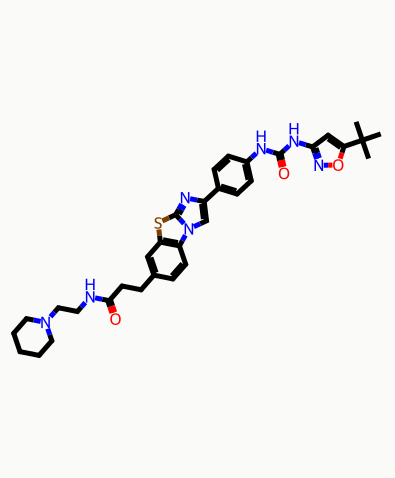 CC(C)(C)c1cc(NC(=O)Nc2ccc(-c3cn4c(n3)sc3cc(CCC(=O)NCCN5CCCCC5)ccc34)cc2)no1